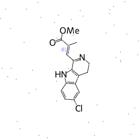 COC(=O)/C(C)=C/C1=NCCc2c1[nH]c1ccc(Cl)cc21